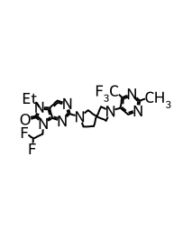 CCn1c(=O)n(CC(F)F)c2nc(N3CCC4(C3)CN(c3cnc(C)nc3C(F)(F)F)C4)ncc21